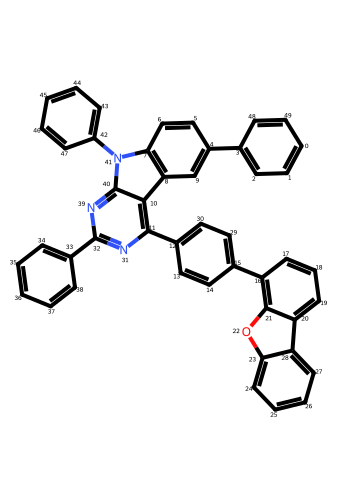 c1ccc(-c2ccc3c(c2)c2c(-c4ccc(-c5cccc6c5oc5ccccc56)cc4)nc(-c4ccccc4)nc2n3-c2ccccc2)cc1